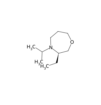 CC[C@@H]1COCCCN1C(C)C